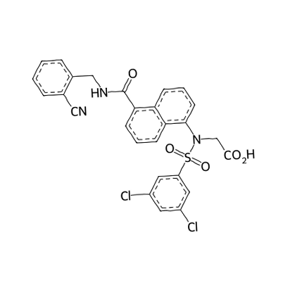 N#Cc1ccccc1CNC(=O)c1cccc2c(N(CC(=O)O)S(=O)(=O)c3cc(Cl)cc(Cl)c3)cccc12